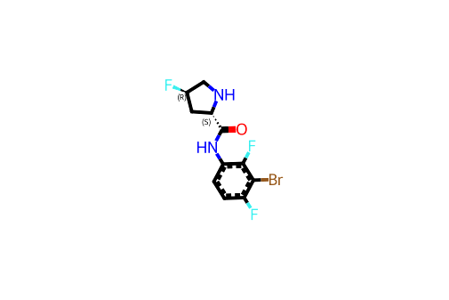 O=C(Nc1ccc(F)c(Br)c1F)[C@@H]1C[C@@H](F)CN1